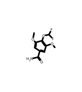 COc1cc(C(N)=O)cc(OC)c1OC(F)F